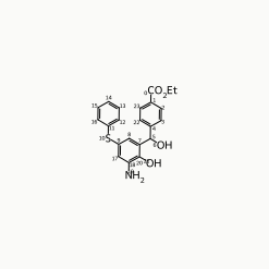 CCOC(=O)c1ccc(C(O)c2cc(Sc3ccccc3)cc(N)c2O)cc1